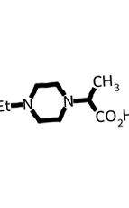 CCN1CCN(C(C)C(=O)O)CC1